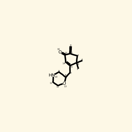 C=C1CC(C)(C)C(CC2CNCCO2)=CC1=O